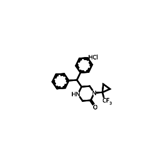 Cl.O=C1CNC(C(c2ccccc2)c2ccccc2)CN1C1(C(F)(F)F)CC1